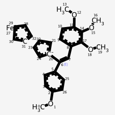 COc1ccc(/C(=C/c2ccc(OC)c(OC)c2OC)[c-]2cccc2)cc1.[Fe+2].c1cc[cH-]c1